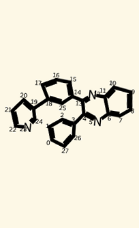 c1ccc(-c2nc3ccccc3nc2-c2cccc(-c3cccnc3)c2)cc1